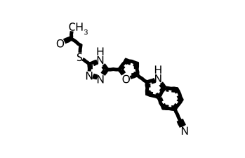 CC(=O)CSc1nnc(-c2ccc(-c3cc4cc(C#N)ccc4[nH]3)o2)[nH]1